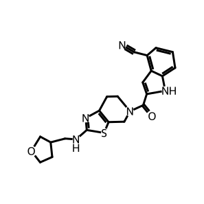 N#Cc1cccc2[nH]c(C(=O)N3CCc4nc(NCC5CCOC5)sc4C3)cc12